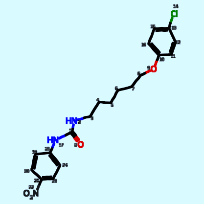 O=C(NCCCCCCOc1ccc(Cl)cc1)Nc1ccc([N+](=O)[O-])cc1